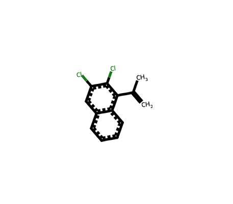 C=C(C)c1c(Cl)c(Cl)cc2ccccc12